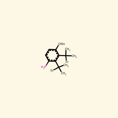 CCC(C)(C)c1c(P)ccc(OC)c1C(C)(C)CC